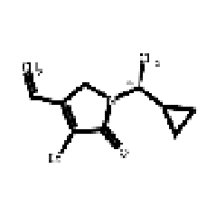 C=CC1=C(CC)C(=O)N([C@@H](C)C2CC2)C1